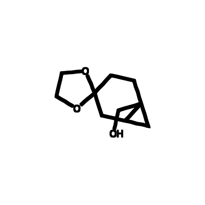 OCC12CCC3(CC1C2)OCCO3